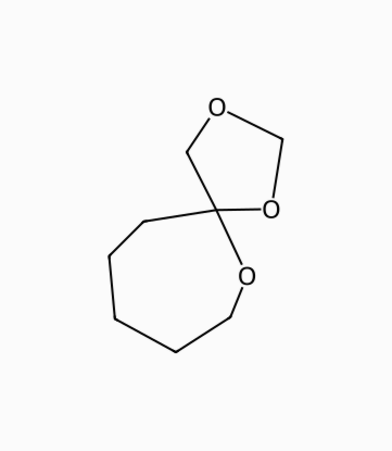 C1CCOC2(CC1)COCO2